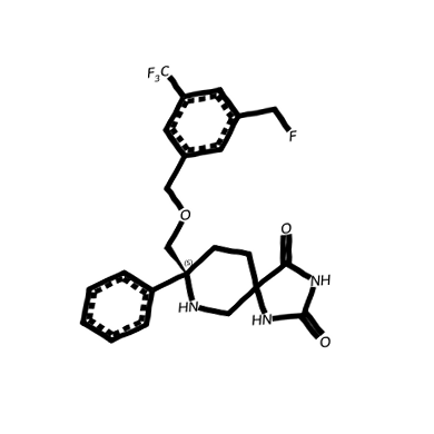 O=C1NC(=O)C2(CC[C@@](COCc3cc(CF)cc(C(F)(F)F)c3)(c3ccccc3)NC2)N1